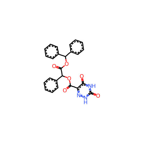 O=C(OC(C(=O)OC(c1ccccc1)c1ccccc1)c1ccccc1)c1n[nH]c(=O)[nH]c1=O